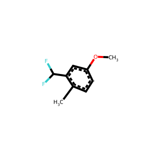 COc1[c]cc(C)c(C(F)F)c1